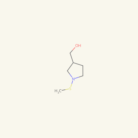 CSN1CCC(CO)C1